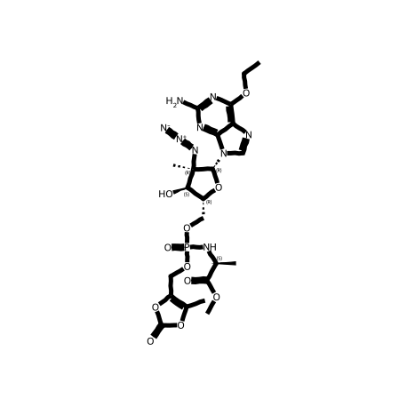 CCOc1nc(N)nc2c1ncn2[C@@H]1O[C@H](COP(=O)(N[C@@H](C)C(=O)OC)OCc2oc(=O)oc2C)[C@@H](O)[C@@]1(C)N=[N+]=[N-]